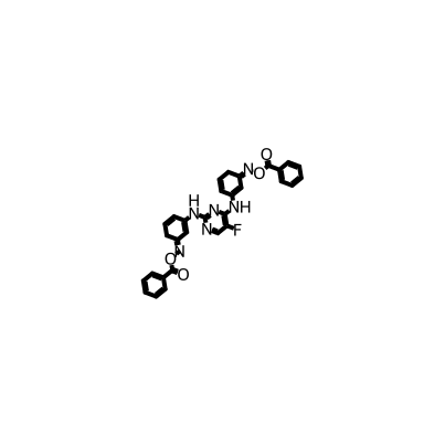 O=C(ON=C1C=C(Nc2ncc(F)c(NC3=CC(=NOC(=O)c4ccccc4)CC=C3)n2)C=CC1)c1ccccc1